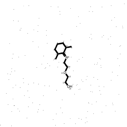 CC1CCCC(C)C1=NCCOCCO